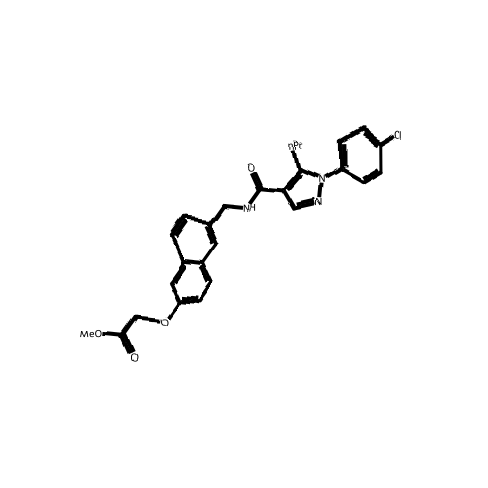 CCCc1c(C(=O)NCc2ccc3cc(OCC(=O)OC)ccc3c2)cnn1-c1ccc(Cl)cc1